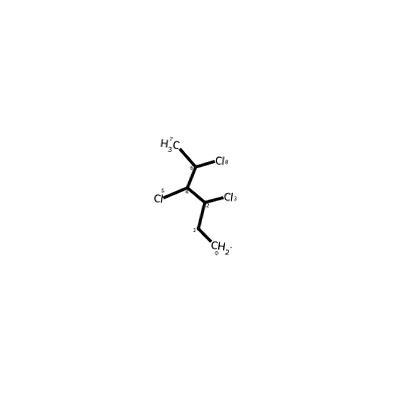 [CH2]CC(Cl)C(Cl)C(C)Cl